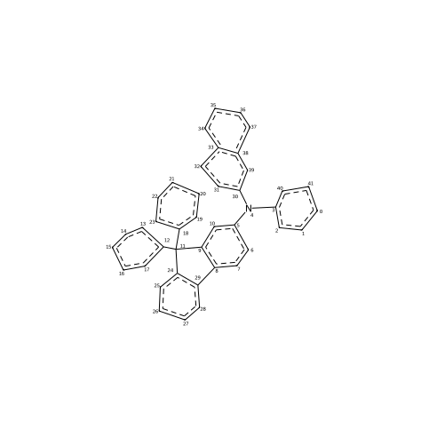 c1ccc(N(c2ccc3c(c2)C(c2ccccc2)(c2ccccc2)c2ccccc2-3)c2ccc3ccccc3c2)cc1